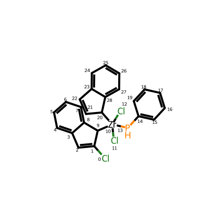 ClC1=Cc2ccccc2[CH]1[Zr]([Cl])([Cl])([PH]c1ccccc1)[CH]1C=Cc2ccccc21